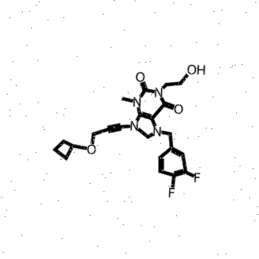 Cn1c2c(c(=O)n(CCO)c1=O)N(Cc1ccc(F)c(F)c1)CN2C#CCOC1CCC1